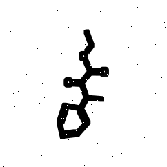 CCOC(=O)C(=O)C(C)c1ccccc1